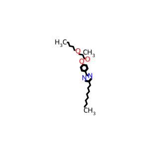 CCCCCCCCCc1cnc(-c2ccc(OC(=O)C(C)COCCCCC)cc2)nc1